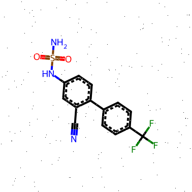 N#Cc1cc(NS(N)(=O)=O)ccc1-c1ccc(C(F)(F)F)cc1